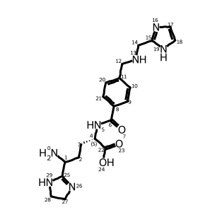 NC(CC[C@H](NC(=O)c1ccc(CNCc2ncc[nH]2)cc1)C(=O)O)C1=NCCN1